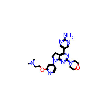 CN(C)CCOc1cc(N2CCc3c(-c4cnc(N)nc4)nc(N4CCOCC4)nc32)ccn1